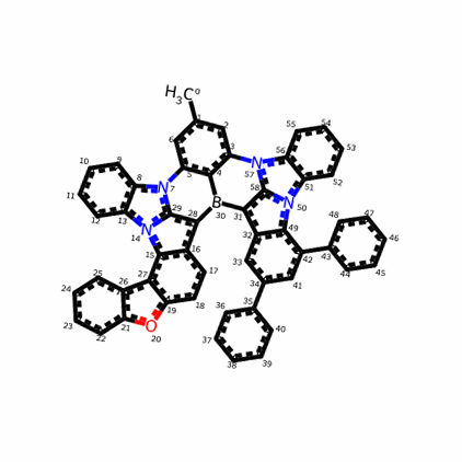 Cc1cc2c3c(c1)-n1c4ccccc4n4c5c(ccc6oc7ccccc7c65)c(c14)B3c1c3cc(-c4ccccc4)cc(-c4ccccc4)c3n3c4ccccc4n-2c13